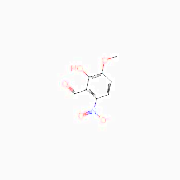 COc1ccc([N+](=O)[O-])c(C=O)c1O